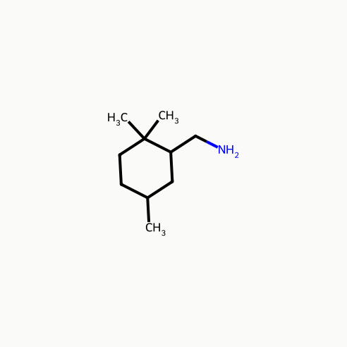 CC1CCC(C)(C)C(CN)C1